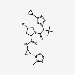 Cn1nccc1[C@@H]1C[C@H]1NC(=O)[C@@H]1C[C@@H](O)CN1C(=O)[C@@H](n1cc(C2CC2)nn1)C(C)(C)C